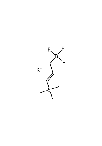 C[Si](C)(C)/C=C/C[B-](F)(F)F.[K+]